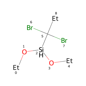 CCO[SiH](OCC)C(Br)(Br)CC